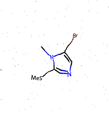 CSc1ncc(Br)n1C